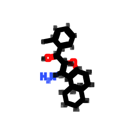 Cc1ccccc1C(=O)c1oc2ccc3c(c2c1N)CCCC3